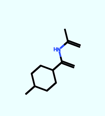 C=C(C)NC(=C)C1CCC(C)CC1